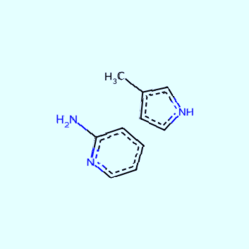 Cc1cc[nH]c1.Nc1ccccn1